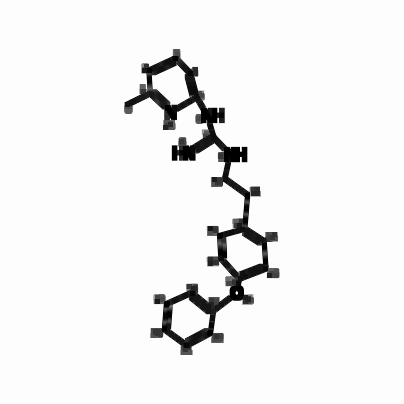 Cc1cccc(NC(=N)NCCc2ccc(Oc3ccccc3)cc2)n1